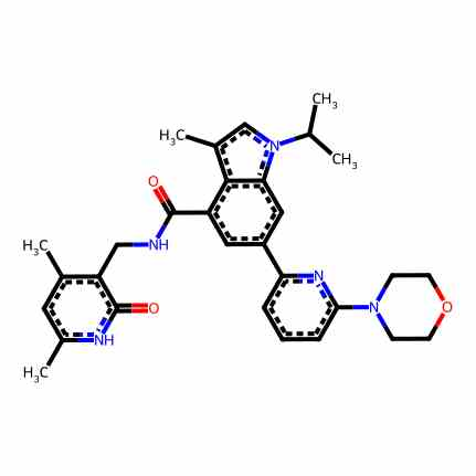 Cc1cc(C)c(CNC(=O)c2cc(-c3cccc(N4CCOCC4)n3)cc3c2c(C)cn3C(C)C)c(=O)[nH]1